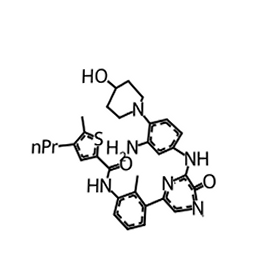 CCCc1cc(C(=O)Nc2cccc(-c3cn(C)c(=O)c(Nc4ccc(N5CCC(O)CC5)c(N)c4)n3)c2C)sc1C